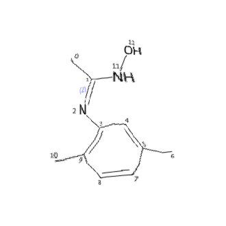 C/C(=N/c1cc(C)ccc1C)NO